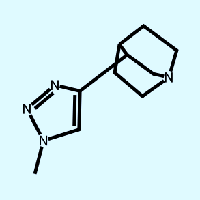 Cn1cc(C2CN3CCC2CC3)nn1